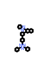 c1ccc(-c2nc(-c3ccccc3)nc(-c3ccc(-c4ccc5c(c4)c4cc6ccccc6cc4c4nc6ccccc6n54)cc3)n2)cc1